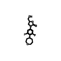 O=C1OC(CO)CN1c1cc(F)c(N2CCCOCC2)c(F)c1